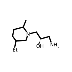 CCC1CCC(C)N(C[C@@H](O)CN)C1